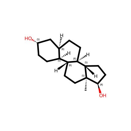 C[C@]12CC[C@H]3[C@@H](CC[C@@H]4C[C@@H](O)CC[C@@H]43)[C@@H]1CC[C@H]2O